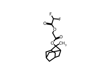 CC1(OC(=O)COC(=O)C(F)F)C2CC3CC(C2)CC1C3